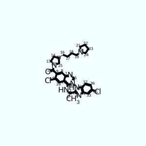 C[C@H](Nc1ncnc2cc(C(=O)N3CC[C@H](CCCCN4CCCC4)C3)c(Cl)cc12)c1nc2cc(Cl)ccc2[nH]1